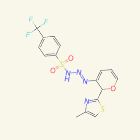 Cc1csc(C2OC=CC=C2N=NNS(=O)(=O)c2ccc(C(F)(F)F)cc2)n1